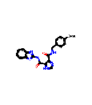 COc1ccc(CNC(=O)c2nc[nH]c2C(=O)Nc2nc3ccccc3[nH]2)cc1